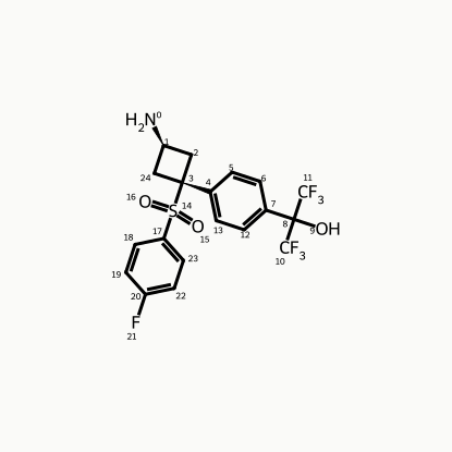 N[C@H]1C[C@](c2ccc(C(O)(C(F)(F)F)C(F)(F)F)cc2)(S(=O)(=O)c2ccc(F)cc2)C1